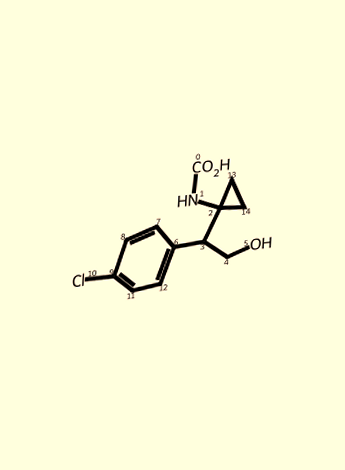 O=C(O)NC1(C(CO)c2ccc(Cl)cc2)CC1